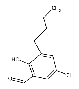 CCCCc1cc(Cl)cc(C=O)c1O